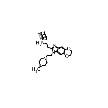 CN1CCN(CCn2c(CCN)nc3cc4c(cc32)OCCO4)CC1.Cl.Cl.Cl